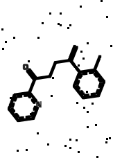 C=C(CCC(=O)c1ccccn1)c1ccccc1C